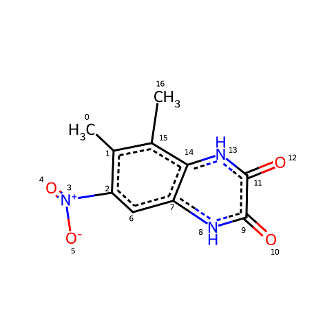 Cc1c([N+](=O)[O-])cc2[nH]c(=O)c(=O)[nH]c2c1C